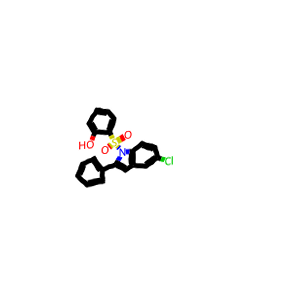 O=S(=O)(c1ccccc1O)n1c(-c2ccccc2)cc2cc(Cl)ccc21